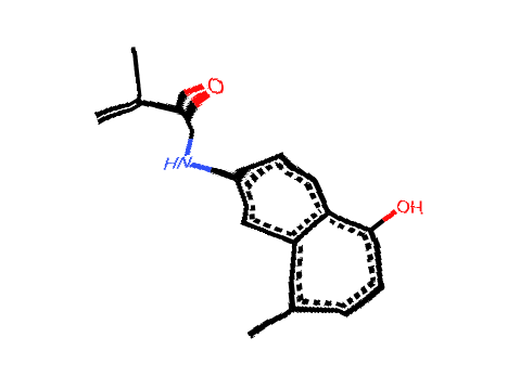 C=C(C)C(=O)Nc1ccc2c(O)ccc(C)c2c1